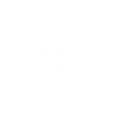 CCOC(=O)C1=CN(c2ncccc2F)C2(C)NC(Cl)=CC=C2C1=O